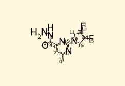 Cc1cc(C(=O)NN)nc(N2C[C@@H](F)[C@@H](F)C2)n1